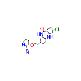 N#Cc1ncccc1OCCc1ccc2c(c1)NC(=O)c1ccc(Cl)cc1N2